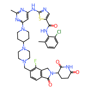 Cc1nc(Nc2ncc(C(=O)Nc3c(C)cccc3Cl)s2)cc(N2CCC(N3CCN(Cc4ccc5c(c4F)CN(C4CCC(=O)NC4=O)C5=O)CC3)CC2)n1